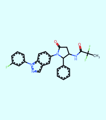 CC(F)(F)C(=O)NC1CC(=O)N(c2ccc3c(cnn3-c3cccc(F)c3)c2)C1c1ccccc1